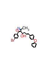 Cc1noc(-c2ccc(Br)cc2)c1C(O)C/C=C/c1ccc(Oc2ccccc2)cc1